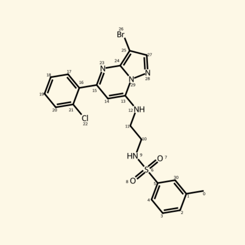 Cc1cccc(S(=O)(=O)NCCNc2cc(-c3ccccc3Cl)nc3c(Br)cnn23)c1